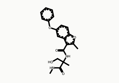 CNC(=O)C(C)(CO)NC(=O)c1c(C)oc2ccc(Oc3ccccc3)cc12